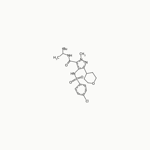 CC(NC(=O)c1c(NS(=O)(=O)c2ccc(Cl)cc2)c(C2CCOCC2)nn1C)C(C)(C)C